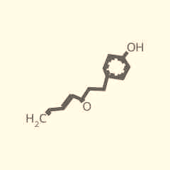 C=CC=CC(=O)CCc1ccc(O)cc1